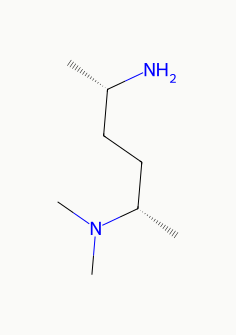 C[C@H](N)CC[C@H](C)N(C)C